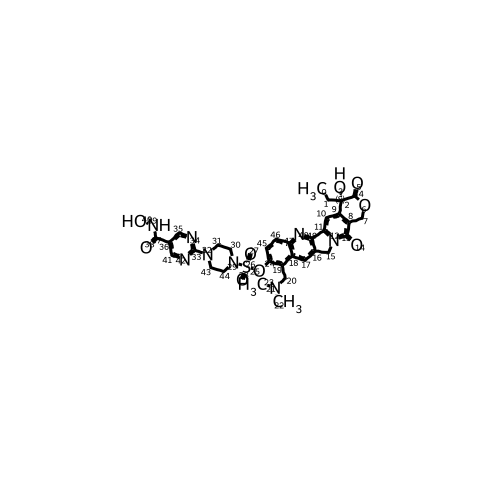 CC[C@@]1(O)C(=O)OCc2c1cc1n(c2=O)Cc2cc3c(CN(C)C)c(OS(=O)(=O)N4CCN(c5ncc(C(=O)NO)cn5)CC4)ccc3nc2-1